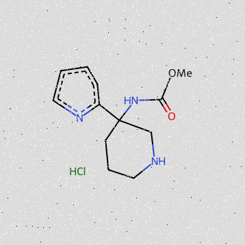 COC(=O)NC1(c2ccccn2)CCCNC1.Cl